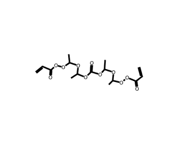 C=CC(=O)OOC(C)OC(C)OC(=O)OC(C)OC(C)OOC(=O)C=C